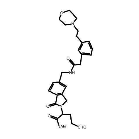 CNC(=O)C(CCC=O)N1Cc2cc(CNC(=O)Cc3cccc(CCN4CCOCC4)c3)ccc2C1=O